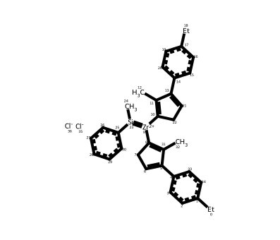 CCc1ccc(C2=CC[C]([Zr+2]([C]3=C(C)C(c4ccc(CC)cc4)=CC3)=[Si](C)c3ccccc3)=C2C)cc1.[Cl-].[Cl-]